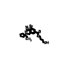 CCC1(NCc2cc(C(=O)OCCCCO)cc(Br)c2N)CCCC1